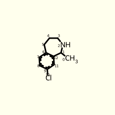 CC1NCCCc2ccc(Cl)cc21